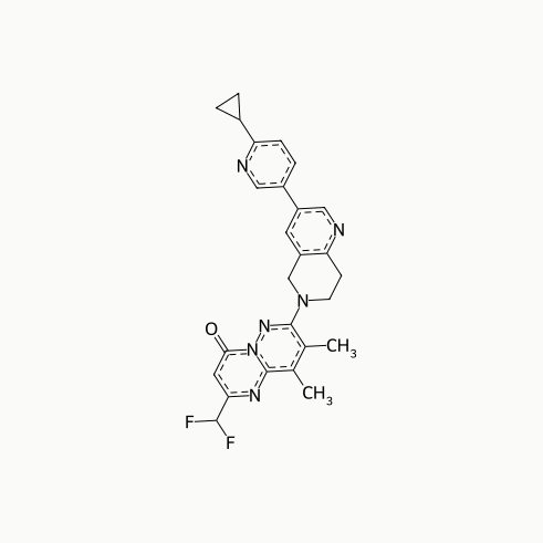 Cc1c(N2CCc3ncc(-c4ccc(C5CC5)nc4)cc3C2)nn2c(=O)cc(C(F)F)nc2c1C